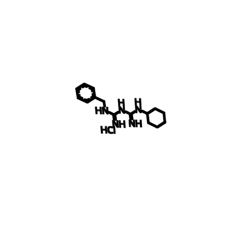 Cl.N=C(NCc1ccccc1)NC(=N)NC1CCCCC1